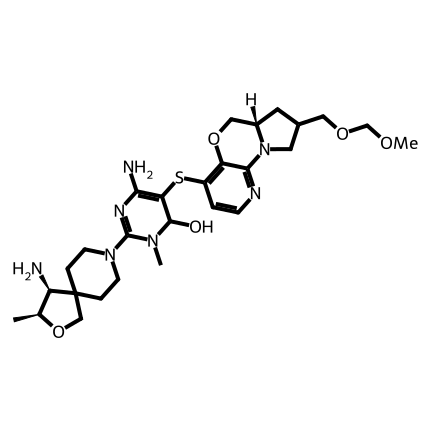 COCOCC1C[C@H]2COc3c(SC4=C(N)N=C(N5CCC6(CC5)CO[C@@H](C)[C@H]6N)N(C)C4O)ccnc3N2C1